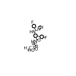 CC[C@@H](C(=O)O)S(=O)(=O)CNC(=O)c1ccc(NC(Cn2ccnc2)c2ccc(F)cc2)cc1-c1ccc(F)cc1